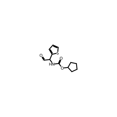 O=[C]C(NC(=O)OC1CCCC1)c1cccs1